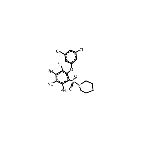 [2H]c1c([2H])c(Oc2cc(Cl)cc(Cl)c2)c(S(=O)(=O)N2CCCCC2)c([2H])c1C#N